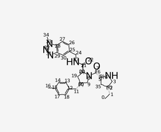 CC[C@H]1CN[C@@H](C(=O)N2C[C@H](Cc3ccc(C)cc3)C[C@H]2C(=O)NCc2ccc3c(c2)nnn3C)C1